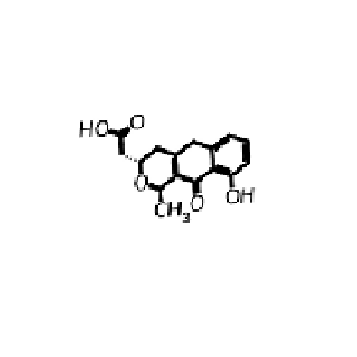 C[C@H]1O[C@H](CC(=O)O)CC2=C1C(=O)c1c(O)cccc1C2